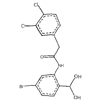 O=C(Cc1ccc(Cl)c(Cl)c1)Nc1cc(Br)ccc1C(O)O